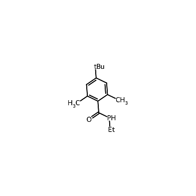 CCPC(=O)c1c(C)cc(C(C)(C)C)cc1C